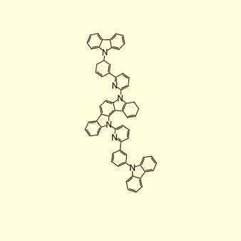 C1=Cc2c(n(-c3cccc(C4=CC(n5c6ccccc6c6ccccc65)CC=C4)n3)c3ccc4c5ccccc5n(-c5cccc(-c6cccc(-n7c8ccccc8c8ccccc87)c6)n5)c4c23)CC1